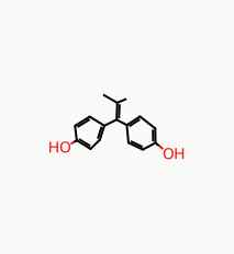 CC(C)=C(c1ccc(O)cc1)c1ccc(O)cc1